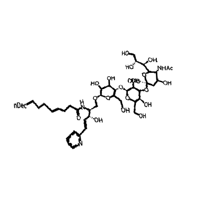 CCCCCCCCCCCCCCCCCC(=O)N[C@@H](CO[C@@H]1OC(CO)[C@@H](O[C@@H]2OC(CO)[C@H](O)C(O[C@]3(C=O)CC(O)[C@@H](NC(C)=O)C([C@H](O)[C@H](O)CO)O3)C2O)C(O)C1O)[C@H](O)/C=C/c1ccccn1